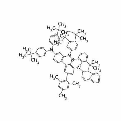 Cc1cc(C)c(-c2cc3c4c(c2)N2c5ccc6ccccc6c5C(C)(C)c5cccc(c52)B4N(c2ccc4c(c2)C(C)(C)CCC4(C)C)c2cc(N(c4ccc(C(C)(C)C)cc4)c4ccc(C(C)(C)C)cc4)ccc2-3)c(C)c1